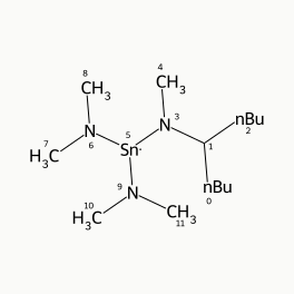 CCCCC(CCCC)[N](C)[Sn]([N](C)C)[N](C)C